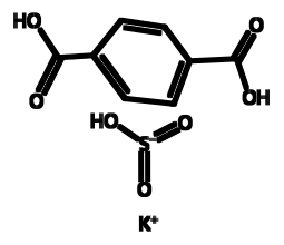 O=C(O)c1ccc(C(=O)O)cc1.O=[S-](=O)O.[K+]